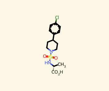 C[C@@H](NS(=O)(=O)N1CCC(c2ccc(Cl)cc2)CC1)C(=O)O